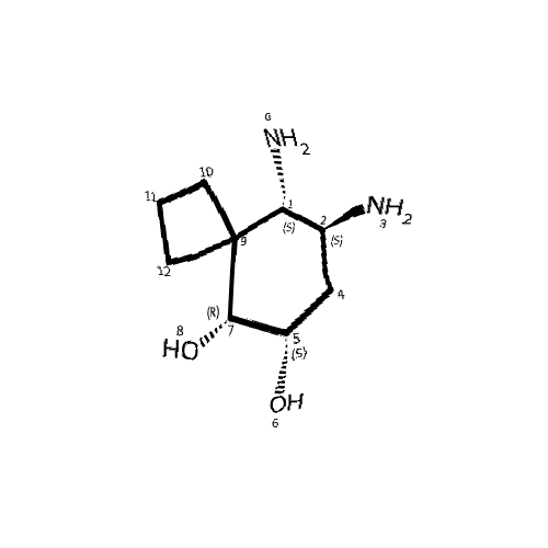 N[C@@H]1[C@@H](N)C[C@H](O)[C@H](O)C12CCC2